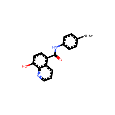 CC(=O)Nc1ccc(NC(=O)c2ccc(O)c3ncccc23)cc1